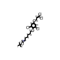 CC(C)(C)O/N=C/CCCCCOc1c(Cl)cc(OCC=C(Cl)Cl)cc1Cl